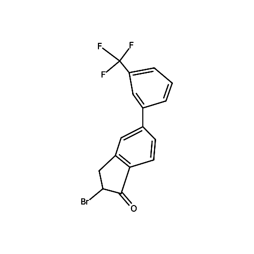 O=C1c2ccc(-c3cccc(C(F)(F)F)c3)cc2CC1Br